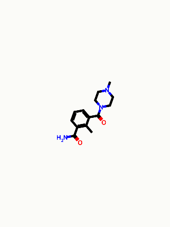 Cc1c(C(N)=O)cccc1C(=O)N1CCN(C)CC1